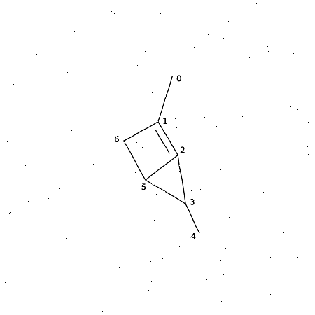 CC1=C2C(C)C2C1